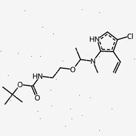 C=Cc1c(Cl)c[nH]c1N(C)C(C)OCCNC(=O)OC(C)(C)C